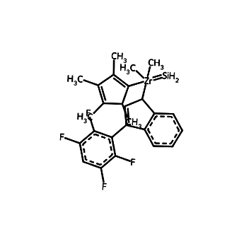 CC1=C(C)C(C)[C]([Zr]([CH3])([CH3])(=[SiH2])[CH]2C=C(c3c(F)c(F)cc(F)c3F)c3ccccc32)=C1C